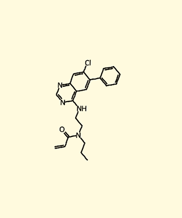 C=CC(=O)N(CCC)CCNc1ncnc2cc(Cl)c(-c3ccccc3)cc12